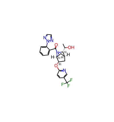 CC(O)[C@@H]1[C@H]2C[C@@H](Oc3ccc(C(F)(F)F)cn3)[C@H](C2)N1C(=O)c1ccccc1-n1nccn1